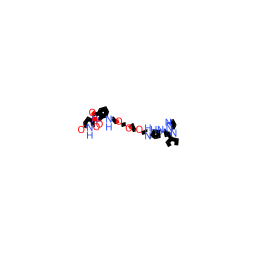 CCC(CC)c1cc(N[C@H]2CC[C@H](NCCOCCOCCOCCNc3cccc4c3C(=O)N(C3CCC(=O)NC3=O)C4=O)C2)n2nccc2n1